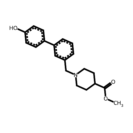 COC(=O)C1CCN(Cc2cccc(-c3ccc(O)cc3)c2)CC1